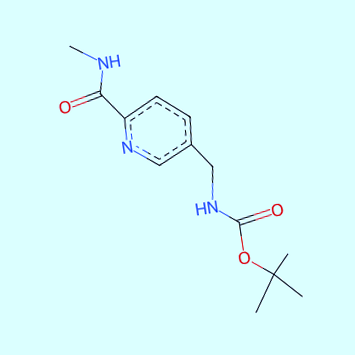 CNC(=O)c1ccc(CNC(=O)OC(C)(C)C)cn1